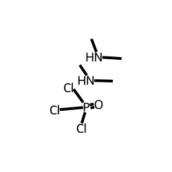 CNC.CNC.O=P(Cl)(Cl)Cl